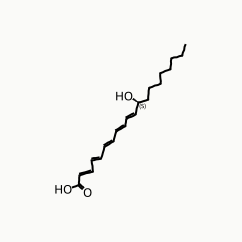 CCCCCCCC[C@H](O)C=CC=CC=CC=CC=CC(=O)O